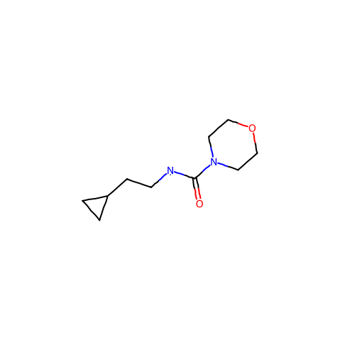 O=C([N]CCC1CC1)N1CCOCC1